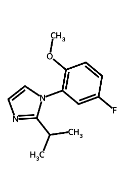 COc1ccc(F)cc1-n1ccnc1C(C)C